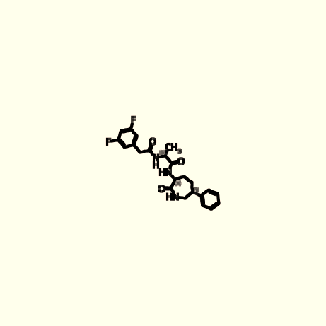 C[C@H](NC(=O)Cc1cc(F)cc(F)c1)C(=O)N[C@H]1CC[C@@H](c2ccccc2)CNC1=O